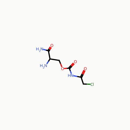 NC(=O)C(N)COC(=O)NC(=O)CCl